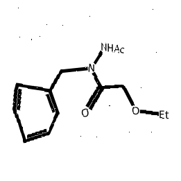 CCOCC(=O)N(Cc1ccccc1)NC(C)=O